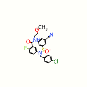 COCCNC(=O)c1cc(N(Cc2ccc(Cl)cc2)[S+]([O-])c2cccc(C#N)c2)ccc1F